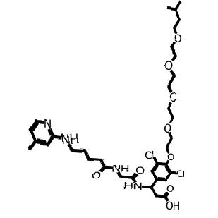 Cc1ccnc(NCCCCC(=O)NCC(=O)NC(CC(=O)O)c2cc(Cl)c(OCCOCCOCCOCCOCCC(C)C)c(Cl)c2)c1